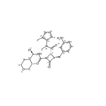 CC[C@@H](NC(=O)N1C(=O)[C@H](Cc2ccnc(N)c2)[C@H]1C(=O)N(C)c1nccn1C)C1CCOCC1